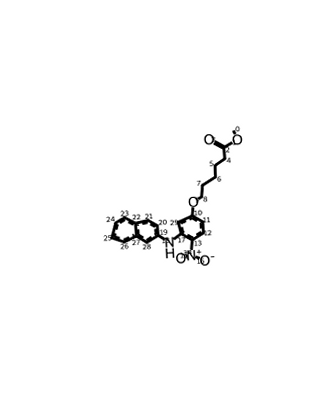 COC(=O)CCCCCOc1ccc([N+](=O)[O-])c(Nc2ccc3ccccc3c2)c1